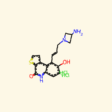 Cl.Cl.NC1CN(C/C=C/c2c(O)ccc3[nH]c(=O)c4sccc4c23)C1